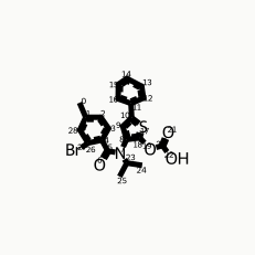 Cc1ccc(C(=O)N(c2cc(-c3ccccc3)sc2OC(=O)O)C(C)C)c(Br)c1